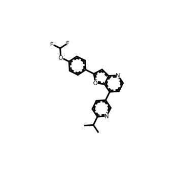 CC(C)c1ccc(-c2ccnc3cc(-c4ccc(OC(F)F)cc4)oc23)cn1